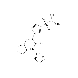 CC(C)S(=O)(=O)c1cnn([C@@H](CC2CCCC2)C(=O)Nc2ccon2)c1